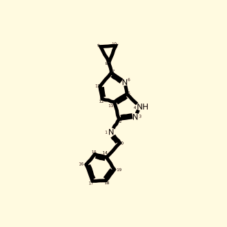 C(=N\c1n[nH]c2nc(C3CC3)ccc12)/c1ccccc1